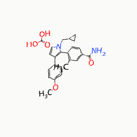 COc1ccc(-c2ccn(CC3CC3)c2-c2ccc(C(N)=O)cc2C)cc1.O=C(O)O